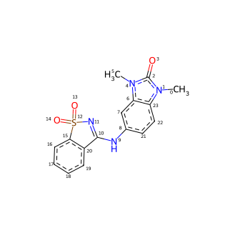 Cn1c(=O)n(C)c2cc(NC3=NS(=O)(=O)c4ccccc43)ccc21